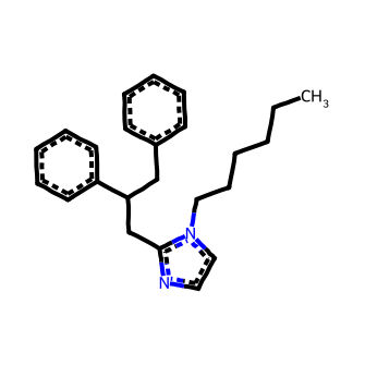 CCCCCCn1ccnc1CC(Cc1ccccc1)c1ccccc1